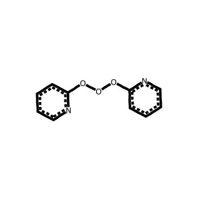 c1ccc(OOOc2ccccn2)nc1